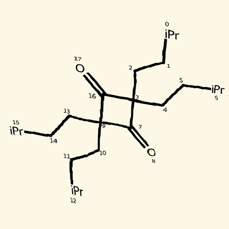 CC(C)CCC1(CCC(C)C)C(=O)C(CCC(C)C)(CCC(C)C)C1=O